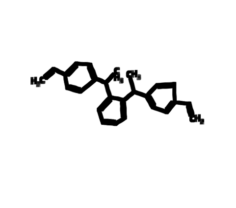 C=Cc1ccc(C(C)c2ccccc2C(C)c2ccc(C=C)cc2)cc1